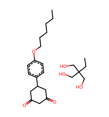 CCC(CO)(CO)CO.CCCCCCOc1ccc(C2CC(=O)CC(=O)C2)cc1